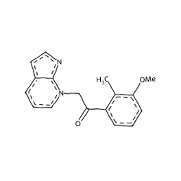 COc1cccc(C(=O)Cn2cccc3ccnc2-3)c1C